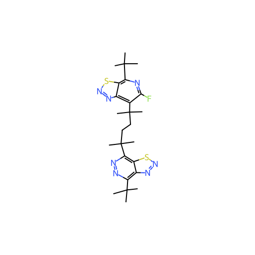 CC(C)(C)c1nnc(C(C)(C)CCC(C)(C)c2c(F)nc(C(C)(C)C)c3snnc23)c2snnc12